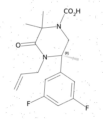 C=CCN1C(=O)C(C)(C)N(C(=O)O)C[C@@]1(C)c1cc(F)cc(F)c1